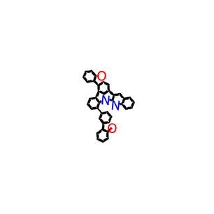 c1ccc2nc3c(cc2c1)c1cc2oc4ccccc4c2c2c4cccc(-c5ccc6oc7ccccc7c6c5)c4n3c12